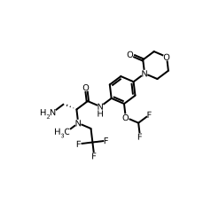 CN(CC(F)(F)F)[C@H](CN)C(=O)Nc1ccc(N2CCOCC2=O)cc1OC(F)F